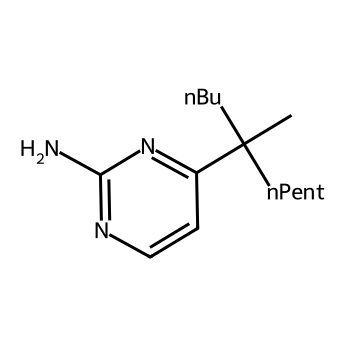 CCCCCC(C)(CCCC)c1ccnc(N)n1